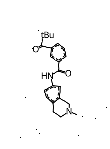 CN1CCc2ccc(NC(=O)c3cccc(C(=O)C(C)(C)C)c3)cc2C1